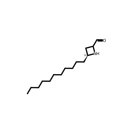 CCCCCCCCCCC[C@H]1CC(C=O)N1